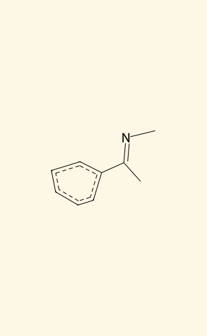 CN=C(C)c1ccccc1